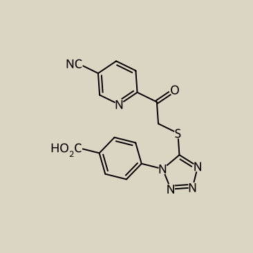 N#Cc1ccc(C(=O)CSc2nnnn2-c2ccc(C(=O)O)cc2)nc1